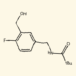 CC(C)(C)C(=O)NCc1ccc(F)c(CO)c1